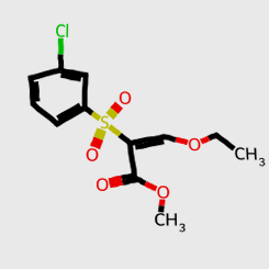 CCO/C=C(\C(=O)OC)S(=O)(=O)c1cccc(Cl)c1